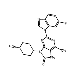 O=c1[nH]c2c(O)nc(-n3cnc4ccc(F)cc43)nc2n1[C@H]1CC[C@H](O)CC1